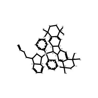 C=CCCC1CC([Si](c2ccccc2)(c2ccccc2)C2C3C=C4C(=CC3C3C=C5C(=CC32)C(C)(C)CCC5(C)C)C(C)(C)CCC4(C)C)C2C=CC=CC12